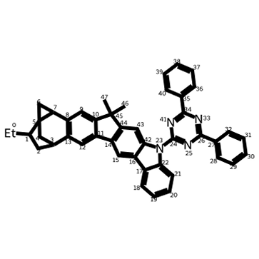 CCC1CC2CC13CC3c1cc3c(cc12)-c1cc2c4ccccc4n(-c4nc(-c5ccccc5)nc(-c5ccccc5)n4)c2cc1C3(C)C